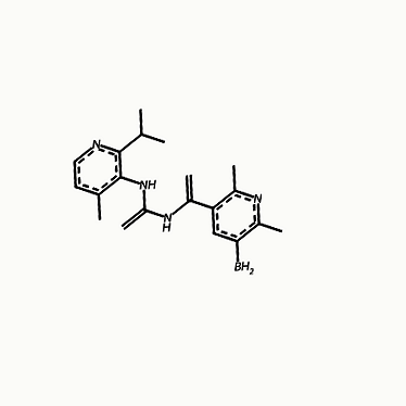 Bc1cc(C(=C)NC(=C)Nc2c(C)ccnc2C(C)C)c(C)nc1C